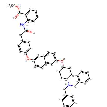 COC(=O)c1ccccc1NC(=O)Cc1ccc(Oc2ccc3cc(O[C@H]4CC[C@@H](N(Cc5ccccc5)Cc5ccccc5)CC4)ccc3c2)cc1